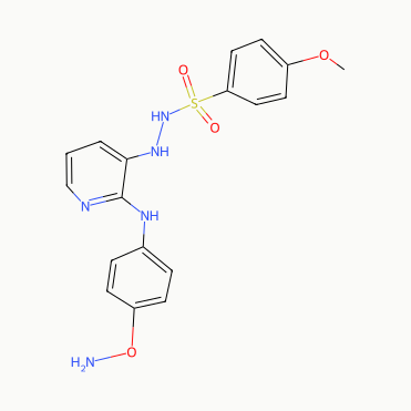 COc1ccc(S(=O)(=O)NNc2cccnc2Nc2ccc(ON)cc2)cc1